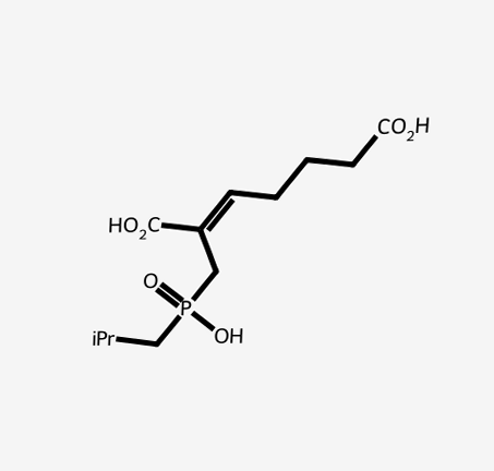 CC(C)CP(=O)(O)C/C(=C\CCCC(=O)O)C(=O)O